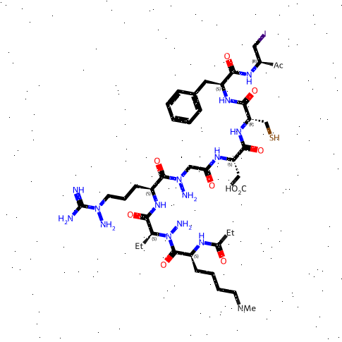 CCC(=O)N[C@@H](CCCCNC)C(=O)N(N)[C@@H](CC)C(=O)N[C@@H](CCCN(N)C(=N)N)C(=O)N(N)CC(=O)N[C@@H](CC(=O)O)C(=O)N[C@@H](CS)C(=O)N[C@@H](Cc1ccccc1)C(=O)N[C@@H](CI)C(C)=O